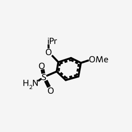 COc1ccc(S(N)(=O)=O)c(OC(C)C)c1